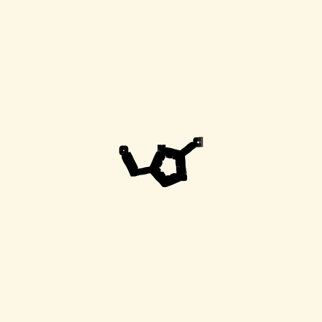 O=Cc1csc(Cl)n1